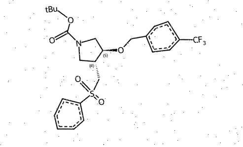 CC(C)(C)OC(=O)N1C[C@@H](CS(=O)(=O)c2ccccc2)[C@H](OCc2ccc(C(F)(F)F)cc2)C1